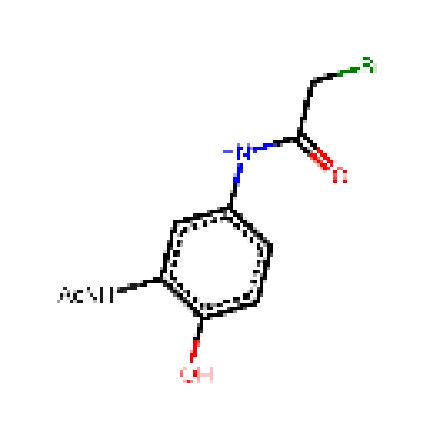 CC(=O)Nc1cc(NC(=O)CBr)ccc1O